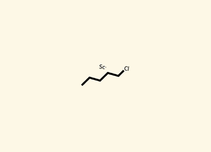 CCCCCCl.[Sc]